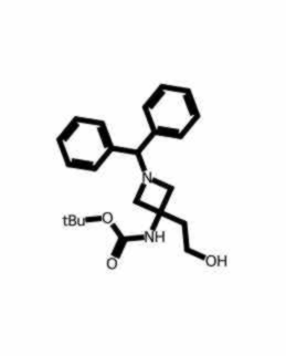 CC(C)(C)OC(=O)NC1(CCO)CN(C(c2ccccc2)c2ccccc2)C1